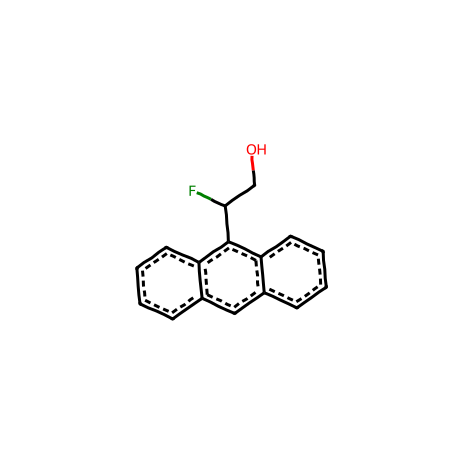 OCC(F)c1c2ccccc2cc2ccccc12